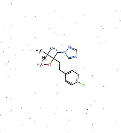 COC(CCc1ccc(F)cc1)(Cn1cncn1)C(C)(C)C